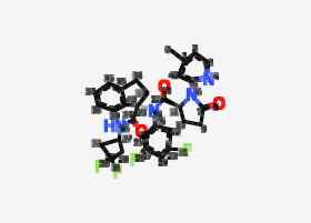 Cc1ccnc(N2C(=O)CC[C@H]2C(=O)N(c2cc(F)cc(F)c2)[C@@]2(C(=O)NC3CC(F)(F)C3)CCc3ccccc32)c1